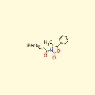 CCC[C@H](C)CCC(=O)N1C(=O)OC(c2ccccc2)C1C